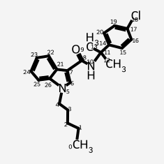 CCCCCn1cc(C(=O)NC(C)(C)c2ccc(Cl)cc2)c2ccccc21